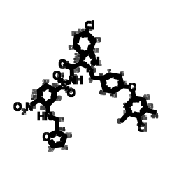 Cc1cc(Oc2ccc(Cn3nc4cc(Cl)ccc4c3C(=O)NS(=O)(=O)c3ccc([N+](=O)[O-])c(NCc4ccco4)c3)cc2)cc(C)c1Cl